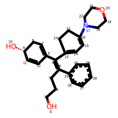 OCCC/C(=C(\C1=CC[C@@H](O)C=C1)C1=CC=C(N2CCOCC2)CC1)c1ccccc1